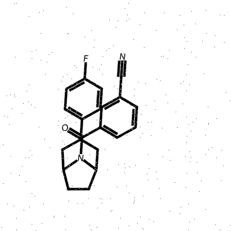 N#Cc1cccc(C(=O)N2C3CCC2CC(c2ccc(F)cc2)C3)c1